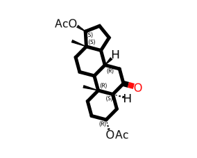 CC(=O)O[C@@H]1CC[C@]2(C)C3CC[C@@]4(C)C(CC[C@@H]4OC(C)=O)[C@@H]3CC(=O)[C@H]2C1